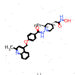 CCC[C@H]1C[C@H](CC(=O)NO)CCN1NC(=O)c1ccc(OCc2cc(C)nc3ccccc23)cc1